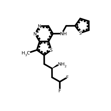 Cc1c(C[C@@H](N)CC(F)F)sc2c(NCc3cccs3)cnnc12